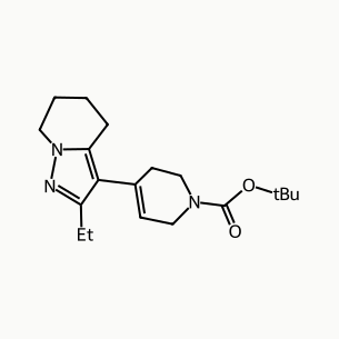 CCc1nn2c(c1C1=CCN(C(=O)OC(C)(C)C)CC1)CCCC2